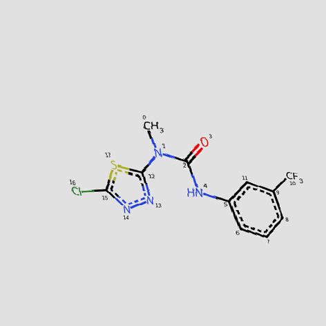 CN(C(=O)Nc1cccc(C(F)(F)F)c1)c1nnc(Cl)s1